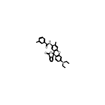 CCN(CC)c1ccc2c(c1)Oc1cc(C)c(NC(=O)c3cccc(C)c3)cc1C21OC(=O)c2ccccc21